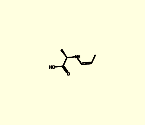 C/C=C\N[C@H](C)C(=O)O